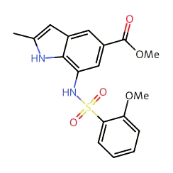 COC(=O)c1cc(NS(=O)(=O)c2ccccc2OC)c2[nH]c(C)cc2c1